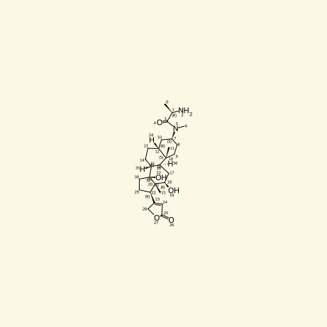 C[C@@H](N)C(=O)N(C)[C@H]1CC[C@@]2(C)[C@H](CC[C@@H]3[C@@H]2C[C@@H](O)[C@]2(C)[C@@H](C4=CC(=O)OC4)CC[C@]32O)C1